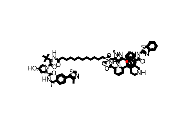 Cc1ncsc1-c1ccc([C@H](C)NC(=O)[C@@H]2C[C@@H](O)CN2C(=O)[C@@H](NC(=O)CCCCCCCCCCCS(=O)(=O)NC(=O)C2=CC=CC(c3ccc(C(=O)Nc4nc5ccccc5s4)c4c3CCNC4)N2c2c(C34CC5CC(CC(C5)C3)C4)nn(C)c2C)C(C)(C)C)cc1